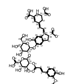 COc1cc(/C=C/C(=O)O[C@H]2[C@H](O[C@H]3[C@H](Oc4cc5c(cc4O)/[N+](=C\C=C4\C=C(C(=O)O)N[C@H](C(=O)O)C4)[C@H](C(=O)[O-])C5)O[C@H](CO)[C@@H](O)[C@@H]3O)O[C@H](C(=O)O)[C@@H](O)[C@@H]2O)ccc1O